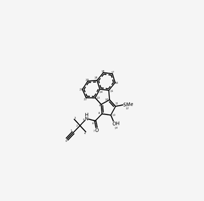 C#CC(C)(C)NC(=O)C1=C2C(=C(SC)C1O)c1cccc3cccc2c13